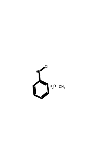 ClBc1ccccc1.O.O